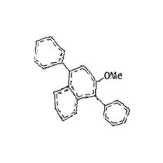 COc1cc(-c2ccccc2)c2ccccc2c1-c1ccccc1